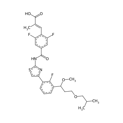 COC(CCOCC(C)C)c1cccc(-c2csc(NC(=O)c3cc(F)c(C=C(C)C(=O)O)c(F)c3)n2)c1F